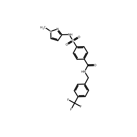 Cn1ccc(NS(=O)(=O)c2ccc(C(=O)NCc3ccc(C(F)(F)F)cc3)cc2)n1